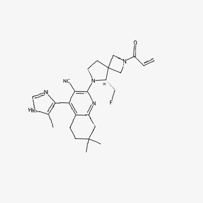 C=CC(=O)N1CC2(CCN(c3nc4c(c(C5=[C](C)[InH][CH]=N5)c3C#N)CCC(C)(C)C4)[C@H]2CF)C1